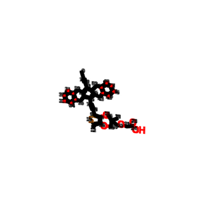 CC#Cc1c2c(c(C#Cc3sc(C)c4c3OCC(C)(COCC(=O)O)CO4)c3c1C1c4ccccc4C3c3ccccc31)C1c3ccccc3C2c2ccccc21